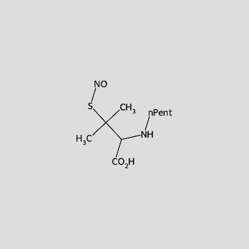 CCCCCNC(C(=O)O)C(C)(C)SN=O